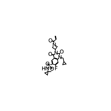 C=CC(=O)N1CC(n2c(=O)c3cc(S(=O)(=O)NC4(C)CC4)c(F)cc3n(CC3CC3)c2=O)C1